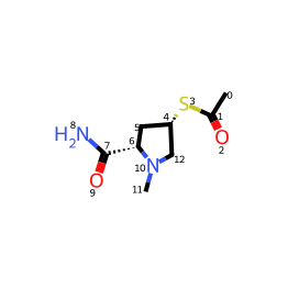 CC(=O)S[C@H]1C[C@@H](C(N)=O)N(C)C1